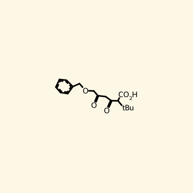 CC(C)(C)C(C(=O)O)C(=O)CC(=O)COCc1ccccc1